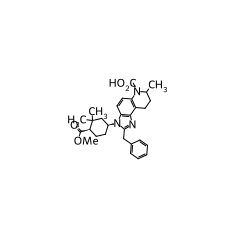 COC(=O)[C@@H]1CC[C@H](n2c(Cc3ccccc3)nc3c4c(ccc32)N(C(=O)O)C(C)CC4)CC1(C)C